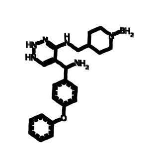 BN1CCC(CNC2=NNNC=C2C(N)c2ccc(Oc3ccccc3)cc2)CC1